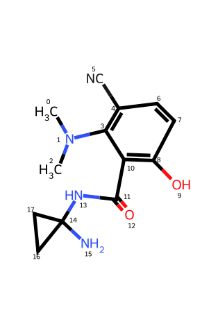 CN(C)c1c(C#N)ccc(O)c1C(=O)NC1(N)CC1